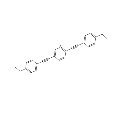 CCc1ccc(C#Cc2ccc(C#Cc3ccc(CC)cc3)nc2)cc1